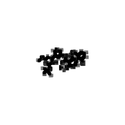 COCC[C@H](NC(=O)OC(C)(C)C)c1cncc(NC(=O)c2c(N)ncn(-c3c(Cl)cccc3Cl)c2=O)c1